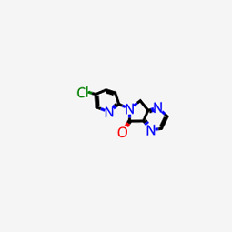 O=C1c2nccnc2CN1c1ccc(Cl)cn1